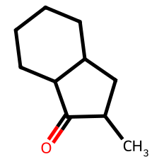 CC1CC2CCCCC2C1=O